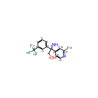 NC(CO)(c1cccc(C(F)(F)F)c1)c1ccnc(F)c1